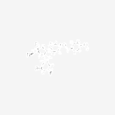 COc1ccc(COc2ccc(-c3cc(F)c(C#N)cc3Cc3cc(F)cc(F)c3)cc2)cc1